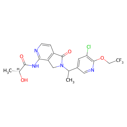 CC(c1cnc(OCC(F)(F)F)c(Cl)c1)N1Cc2c(ccnc2NC(=O)[C@@H](C)O)C1=O